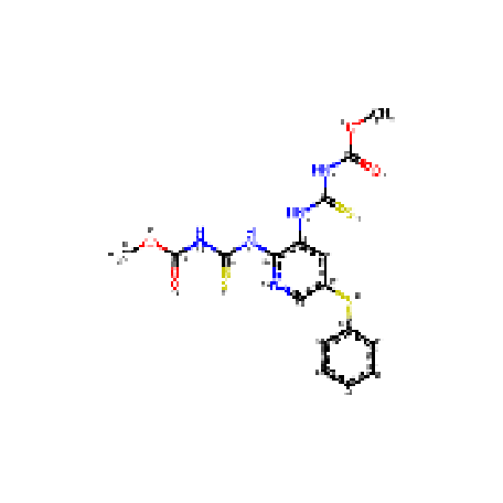 COC(=O)NC(=S)Nc1cc(Sc2ccccc2)cnc1NC(=S)NC(=O)OC